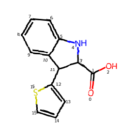 O=C(O)C1Nc2ccccc2C1c1cccs1